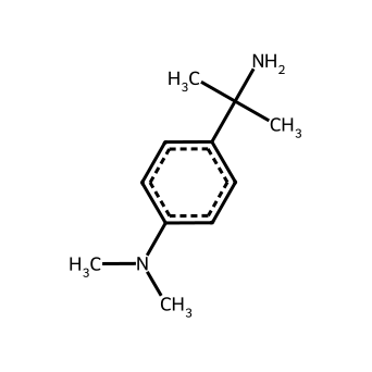 CN(C)c1ccc(C(C)(C)N)cc1